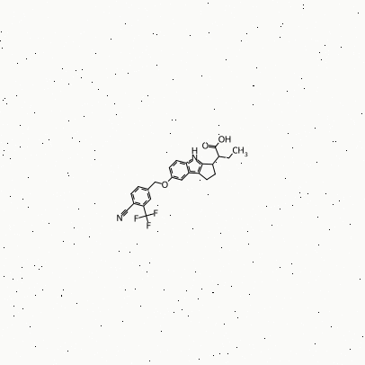 CCC(C(=O)O)C1CCc2c1[nH]c1ccc(OCc3ccc(C#N)c(C(F)(F)F)c3)cc21